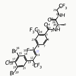 C[C@@H](NC(=O)c1ccc(/C(F)=C/C(c2cc(Br)c(Cl)c(Br)c2)C(F)(F)F)cc1C(F)(F)F)C(=O)NCC(F)(F)F